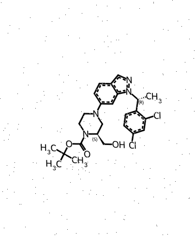 C[C@H](c1ccc(Cl)cc1Cl)n1ncc2ccc(N3CCN(C(=O)OC(C)(C)C)[C@H](CO)C3)cc21